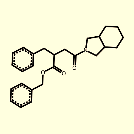 O=C(OCc1ccccc1)C(CC(=O)N1CC2CCCCC2C1)Cc1ccccc1